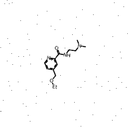 CCOCc1ccnc(C(=O)NCCN(C)C)c1